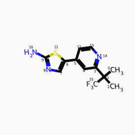 CC(C)(c1cc(-c2cnc(N)s2)ccn1)C(F)(F)F